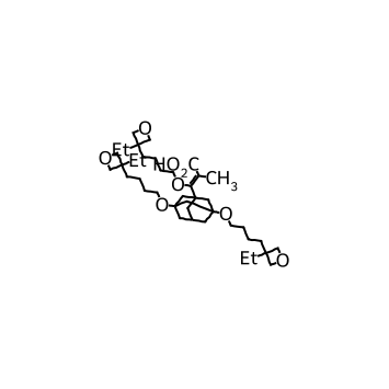 CCC1(CCCCOC(=C(C)C(=O)O)C23CC4CC(OCCCCC5(CC)COC5)(CC(OCCCCC5(CC)COC5)(C4)C2)C3)COC1